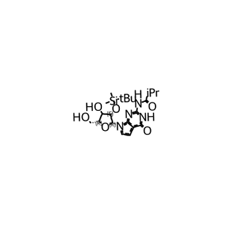 CC(C)C(=O)Nc1nc2c(ccn2[C@@H]2O[C@H](CO)C(O)[C@@H]2O[Si](C)(C)C(C)(C)C)c(=O)[nH]1